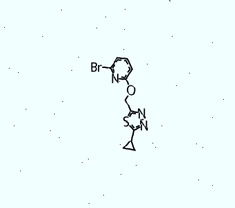 Brc1cccc(OCc2nnc(C3CC3)s2)n1